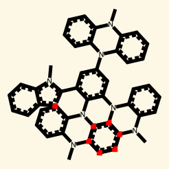 CN1c2ccccc2N(c2cc(-c3nc4ccccc4n3C)c(N3c4ccccc4N(C)c4ccccc43)c(N3c4ccccc4N(C)c4ccccc43)c2)c2ccccc21